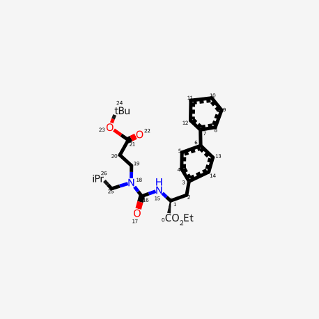 CCOC(=O)[C@H](Cc1ccc(-c2ccccc2)cc1)NC(=O)N(CCC(=O)OC(C)(C)C)CC(C)C